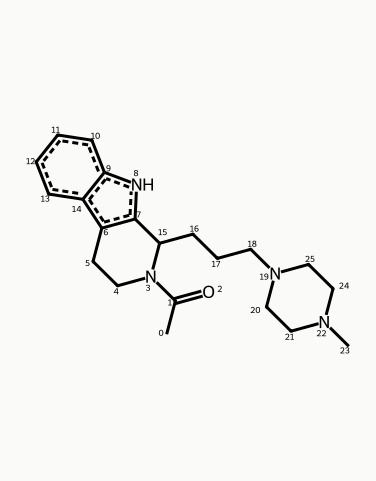 CC(=O)N1CCc2c([nH]c3ccccc23)C1CCCN1CCN(C)CC1